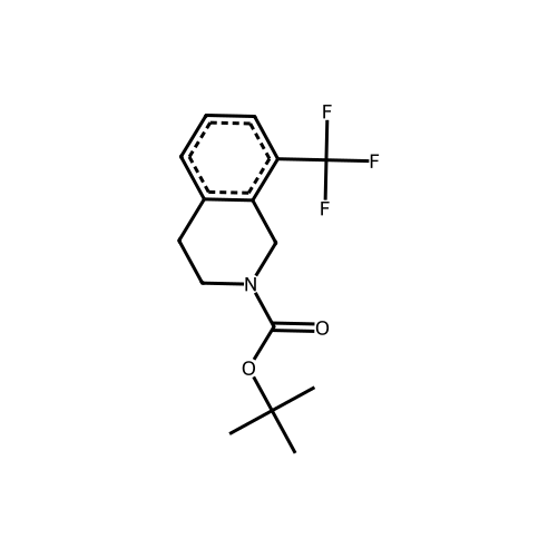 CC(C)(C)OC(=O)N1CCc2cccc(C(F)(F)F)c2C1